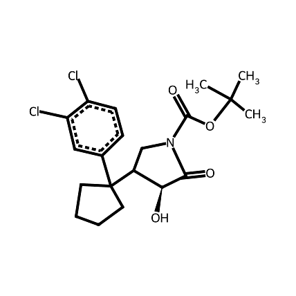 CC(C)(C)OC(=O)N1CC(C2(c3ccc(Cl)c(Cl)c3)CCCC2)[C@H](O)C1=O